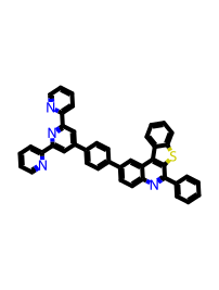 c1ccc(-c2nc3ccc(-c4ccc(-c5cc(-c6ccccn6)nc(-c6ccccn6)c5)cc4)cc3c3c2sc2ccccc23)cc1